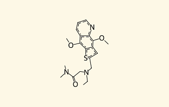 CCN(CC(=O)N(C)C)Cc1cc2c(OC)c3ncccc3c(OC)c2s1